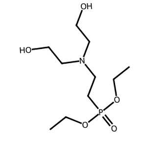 CCOP(=O)(CCN(CCO)CCO)OCC